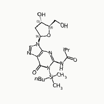 CCCC[Si](C)(C)n1c(NC(=O)C(C)C)nc2c(ncn2[C@H]2C[C@H](O)[C@@H](CO)O2)c1=O